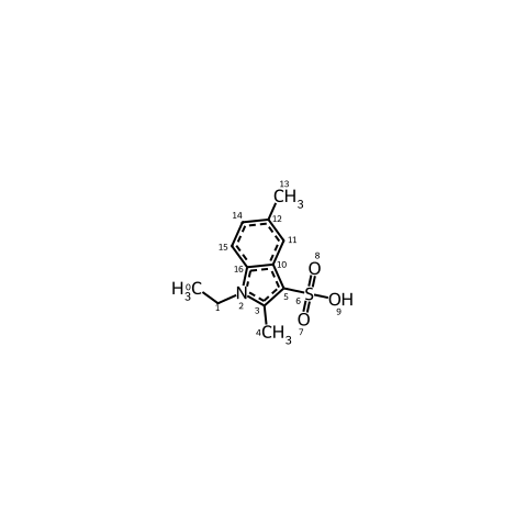 CCn1c(C)c(S(=O)(=O)O)c2cc(C)ccc21